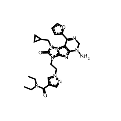 CCN(CC)C(=O)c1cnn(CCn2c(=O)n(CC3CC3)n3c4c(nc23)N(N)CN=C4c2ccco2)c1